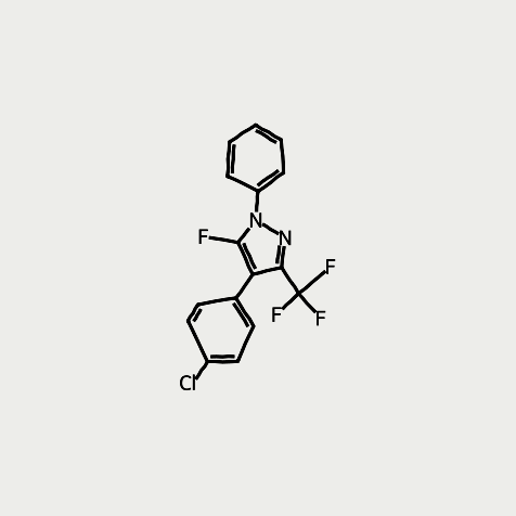 Fc1c(-c2ccc(Cl)cc2)c(C(F)(F)F)nn1-c1ccccc1